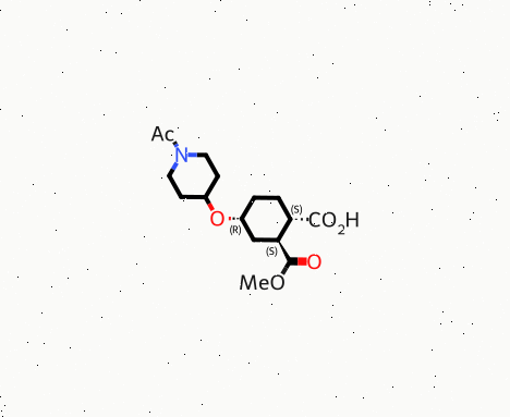 COC(=O)[C@H]1C[C@H](OC2CCN(C(C)=O)CC2)CC[C@@H]1C(=O)O